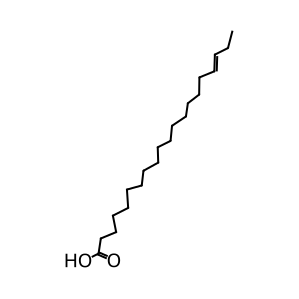 CCC=CCCCCCCCCCCCCCCCC(=O)O